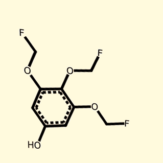 Oc1cc(OCF)c(OCF)c(OCF)c1